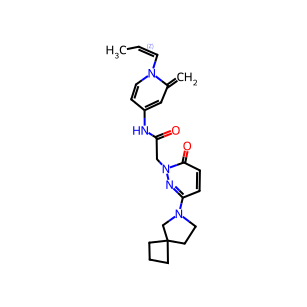 C=C1C=C(NC(=O)Cn2nc(N3CCC4(CCC4)C3)ccc2=O)C=CN1/C=C\C